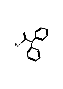 C=C(N)N(c1ccccc1)c1ccccc1